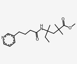 CCC(C)(CC(C)(C)C(=O)OC)NC(=O)CCCc1cccnc1